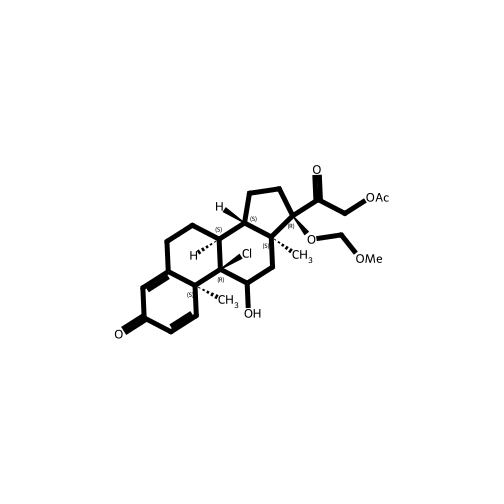 COCO[C@]1(C(=O)COC(C)=O)CC[C@H]2[C@@H]3CCC4=CC(=O)C=C[C@]4(C)[C@@]3(Cl)C(O)C[C@@]21C